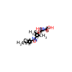 Cc1cc(-c2noc(-c3ccc(CC(C)C)cc3)n2)cc(C)c1OC[C@H](O)CNC(=O)CO